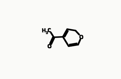 CC(=O)C1=CCOC=C1